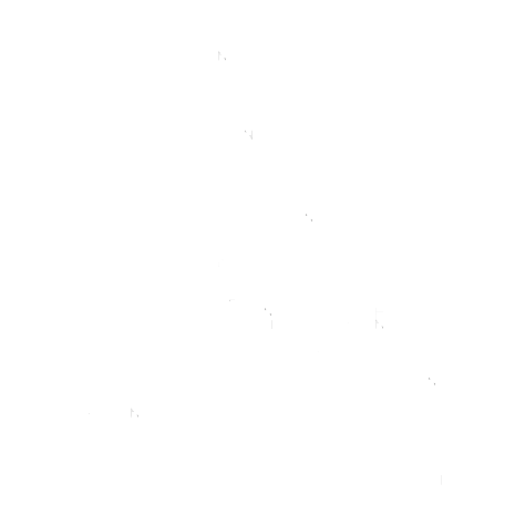 CN1CCN(CCN(C)CC(CC(=O)Nc2ccc(Cl)cn2)NC(=O)c2ccc(-n3ccccc3=O)cc2)CC1